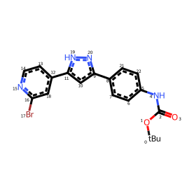 CC(C)(C)OC(=O)Nc1ccc(-c2cc(-c3ccnc(Br)c3)[nH]n2)cc1